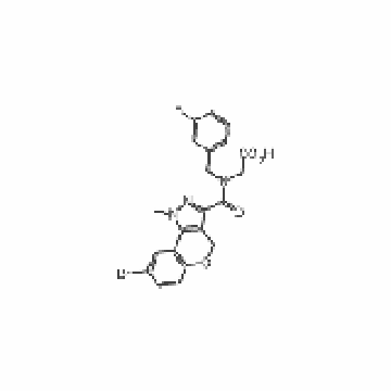 Cn1nc(C(=O)N(CC(=O)O)Cc2cccc(F)c2)c2c1-c1cc(Br)ccc1OC2